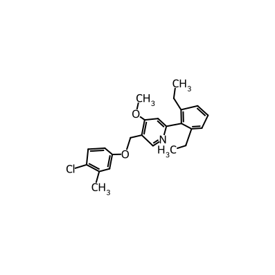 CCc1cccc(CC)c1-c1cc(OC)c(COc2ccc(Cl)c(C)c2)cn1